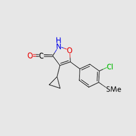 CSc1ccc(C2=C(C3CC3)C(=C=O)NO2)cc1Cl